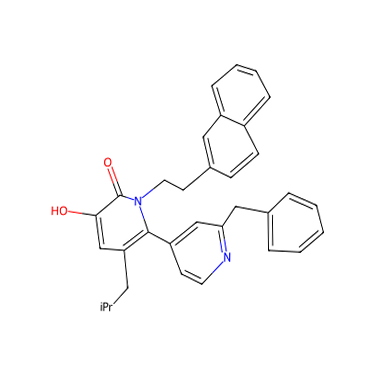 CC(C)Cc1cc(O)c(=O)n(CCc2ccc3ccccc3c2)c1-c1ccnc(Cc2ccccc2)c1